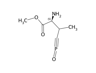 COC(=O)[C@@H](N)C(C)C#P=O